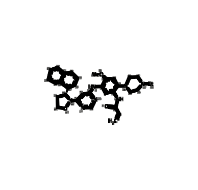 C=CC(=O)Nc1cc(Nc2cc(N3OCC[C@@H]3c3cccc4ccccc34)ncn2)c(OC)cc1N1CCN(CC)CC1